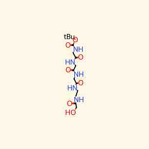 CC(C)(C)OC(=O)NCC(=O)NCC(=O)NCC(=O)NCCNC(=O)CO